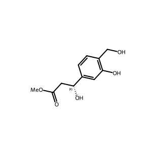 COC(=O)C[C@@H](O)c1ccc(CO)c(O)c1